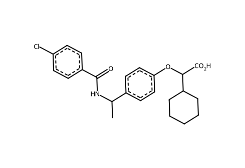 CC(NC(=O)c1ccc(Cl)cc1)c1ccc(OC(C(=O)O)C2CCCCC2)cc1